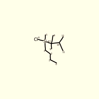 CCCC[Si](C)(Cl)C(C)(C)C(C)C